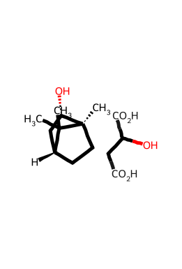 CC1(C)[C@@H]2CC[C@]1(C)[C@@H](O)C2.O=C(O)CC(O)C(=O)O